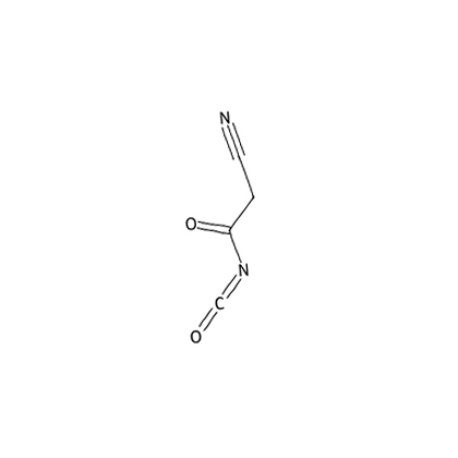 N#CCC(=O)N=C=O